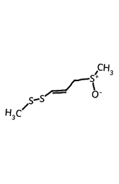 CSSC=CC[S+](C)[O-]